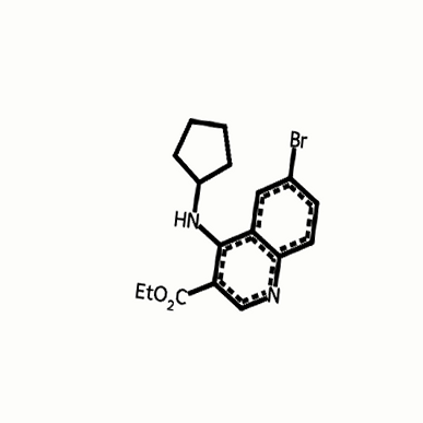 CCOC(=O)c1cnc2ccc(Br)cc2c1NC1CCCC1